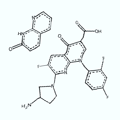 NC1CCN(c2nc3c(cc2F)c(=O)c(C(=O)O)cn3-c2ccc(F)cc2F)C1.O=c1ccc2cccnc2[nH]1